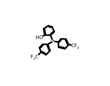 Oc1ccccc1P(c1ccc(C(F)(F)F)cc1)c1ccc(C(F)(F)F)cc1